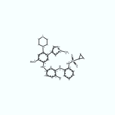 COc1cc(N2CCOCC2)c(-c2cnn(C)c2)cc1Nc1ncc(Br)c(Nc2ccccc2NS(=O)(=O)C2CC2)n1